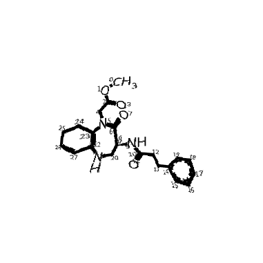 COC(=O)CN1C(=O)[C@@H](NC(=O)CCc2ccccc2)CNC2=C1CCC=C2